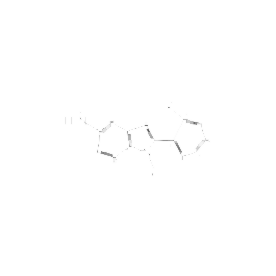 CCn1c(-c2ccccc2Cl)cc2cc(N)ccc21